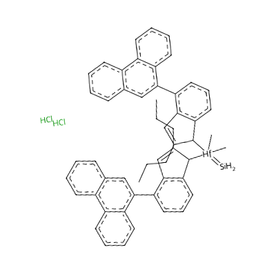 CCCC1=Cc2c(-c3cc4ccccc4c4ccccc34)cccc2[CH]1[Hf]([CH3])([CH3])(=[SiH2])[CH]1C(CCC)=Cc2c(-c3cc4ccccc4c4ccccc34)cccc21.Cl.Cl